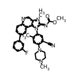 COC(=O)/N=c1\n(C)c2cnc3ccc(-c4cccc(F)c4)cc3c2n1-c1cc(C#N)c(N2CCN(C)CC2)cc1C